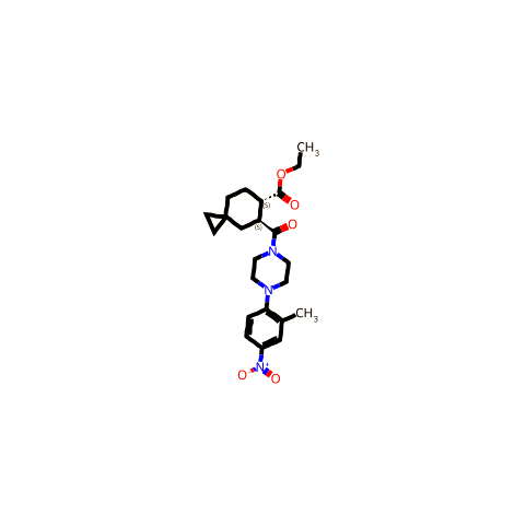 CCOC(=O)[C@H]1CCC2(CC2)C[C@@H]1C(=O)N1CCN(c2ccc([N+](=O)[O-])cc2C)CC1